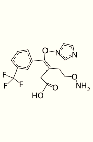 NOCCC(CC(=O)O)=C(On1ccnc1)c1cccc(C(F)(F)F)c1